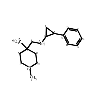 CN1CCC(CNC2CC2c2ccccc2)(C(=O)O)CC1